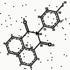 O=C1c2cccc3cccc(c23)C(=O)N1c1ccc(I)cc1